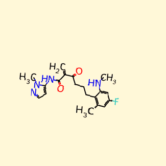 C=C(C(=O)CCCc1c(C)cc(F)cc1NC)C(=O)Nc1ccnn1C